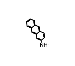 [NH]c1ccc2cc3ccccc3cc2c1